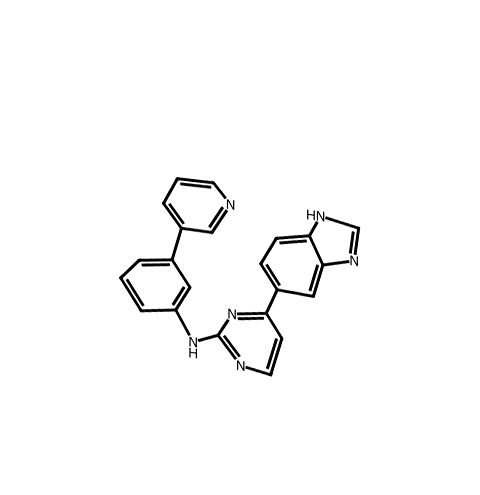 c1cncc(-c2cccc(Nc3nccc(-c4ccc5[nH]cnc5c4)n3)c2)c1